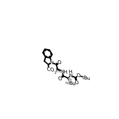 CC[C@H](C)[C@H](NC(=O)OC(C)(C)C)C(=O)NCC(=O)N1c2ccccc2CC1C(=O)O